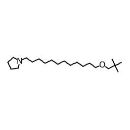 CC(C)(C)COCCCCCCCCCCCCN1CCCC1